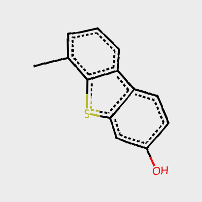 Cc1cccc2c1sc1cc(O)ccc12